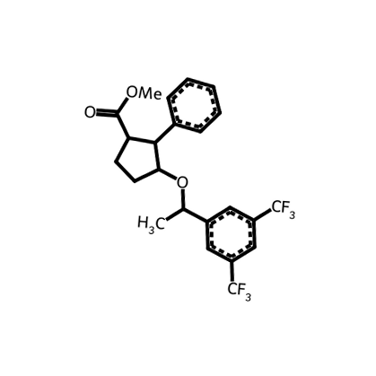 COC(=O)C1CCC(OC(C)c2cc(C(F)(F)F)cc(C(F)(F)F)c2)C1c1ccccc1